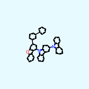 c1ccc(-c2cccc(-c3cc(-n4c5ccccc5c5cc(-n6c7ccccc7c7ccccc76)ccc54)c4c(c3)oc3ccccc34)c2)cc1